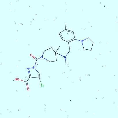 Cc1ccc(CN(C)C2(C)CCN(C(=O)n3cc(Cl)c(C(=O)O)n3)CC2)c(N2CCCC2)c1